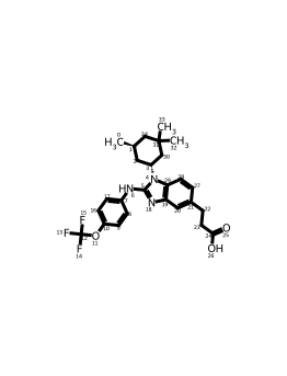 C[C@@H]1C[C@@H](n2c(Nc3ccc(OC(F)(F)F)cc3)nc3cc(CCC(=O)O)ccc32)CC(C)(C)C1